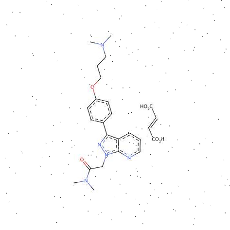 CN(C)CCCOc1ccc(-c2nn(CC(=O)N(C)C)c3ncccc23)cc1.O=C(O)C=CC(=O)O